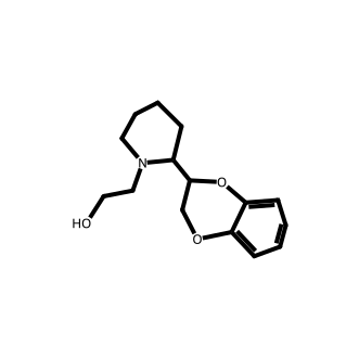 OCCN1CCCCC1C1COc2ccccc2O1